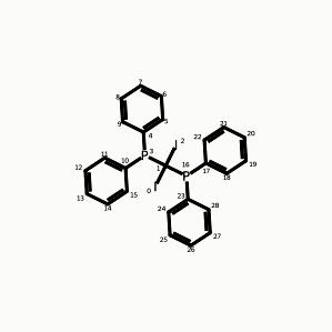 IC(I)(P(c1ccccc1)c1ccccc1)P(c1ccccc1)c1ccccc1